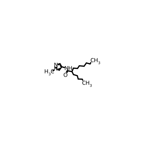 CCCCCCCC(CCCCC)C(=O)Nc1cnn(C)c1